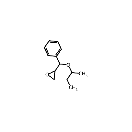 CCC(C)OC(c1ccccc1)C1CO1